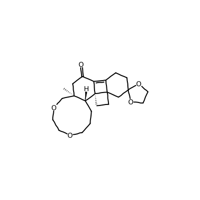 C[C@@]12COCCOCCC[C@H]1[C@]13CCC14CC1(CCC4=C3C(=O)C2)OCCO1